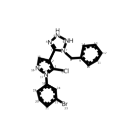 Clc1c(C2=NNNN2Cc2ccccc2)cnn1-c1cccc(Br)c1